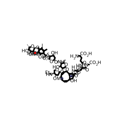 CCN[C@H]1CO[C@@H](O[C@H]2[C@H](O[C@H]3C#C/C=C\C#C[C@]4(O)CC(=O)C(NC(=O)OC)=C3/C4=C\CSSCC(NC(=O)CC[C@H](N)C(=O)O)C(=O)NCC(=O)O)O[C@H](C)[C@@H](NO[C@H]3C[C@H](O)[C@H](SC(=O)c4c(C)c(I)c(O[C@@H]5O[C@@H](C)[C@H](O)[C@@H](OC)[C@H]5O)c(OC)c4OC)[C@@H](C)O3)[C@@H]2O)C[C@@H]1OC